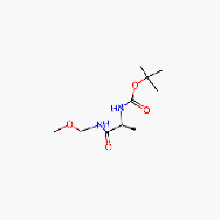 COCNC(=O)[C@H](C)NC(=O)OC(C)(C)C